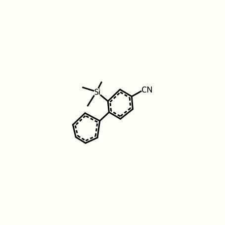 C[Si](C)(C)c1cc(C#N)ccc1-c1ccccc1